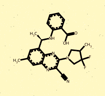 Cc1cc([C@@H](C)Nc2ccccc2C(=O)O)c2nc(N3CC(C)C(F)(F)C3)c(C#N)nc2c1